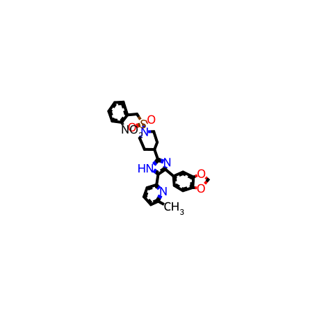 Cc1cccc(-c2[nH]c(C3CCN(S(=O)(=O)Cc4ccccc4[N+](=O)[O-])CC3)nc2-c2ccc3c(c2)OCO3)n1